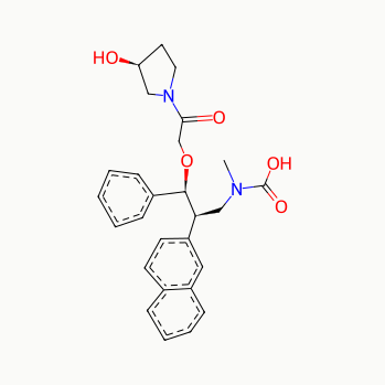 CN(C[C@@H](c1ccc2ccccc2c1)[C@H](OCC(=O)N1CC[C@H](O)C1)c1ccccc1)C(=O)O